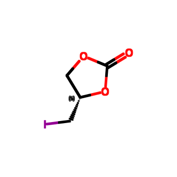 O=C1OC[C@@H](CI)O1